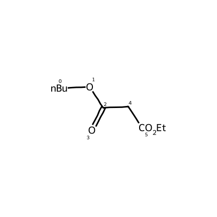 CCCCOC(=O)CC(=O)OCC